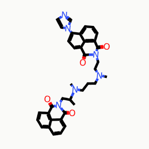 CC(CN1C(=O)c2cccc3cccc(c23)C1=O)N(C)CCCN(C)CCN1C(=O)c2cccc3c(-n4ccnc4)ccc(c23)C1=O